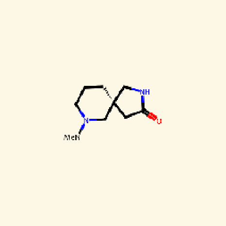 CNN1CCC[C@@]2(CNC(=O)C2)C1